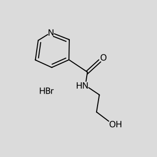 Br.O=C(NCCO)c1cccnc1